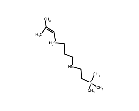 CC(C)=C[SiH2]CCCNCC[Si](C)(C)C